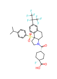 CC(C)c1ccc(S(=O)(=O)C23CCN(C(=O)[C@H]4CC[C@](F)(C(=O)O)CC4)C2CCc2cc(C(F)(C(F)(F)F)C(F)(F)F)ccc23)cc1